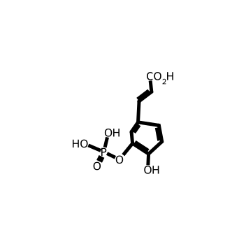 O=C(O)/C=C/c1ccc(O)c(OP(=O)(O)O)c1